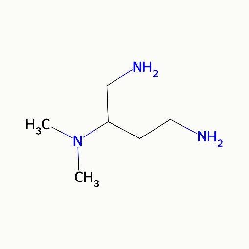 CN(C)C(CN)CCN